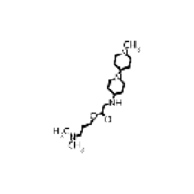 CN(C)CCCOC(=O)CNC1CCN(C2CCN(C)CC2)CC1